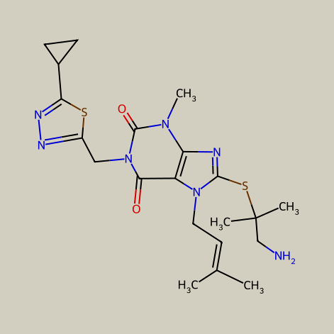 CC(C)=CCn1c(SC(C)(C)CN)nc2c1c(=O)n(Cc1nnc(C3CC3)s1)c(=O)n2C